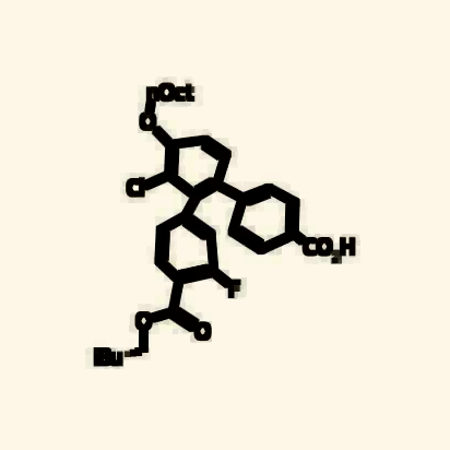 CCCCCCCCOc1ccc(-c2ccc(C(=O)O)cc2)c(-c2ccc(C(=O)OC[C@@H](C)CC)c(F)c2)c1Cl